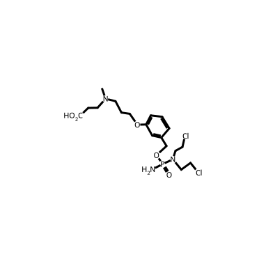 CN(CCCOc1cccc(COP(N)(=O)N(CCCl)CCCl)c1)CCC(=O)O